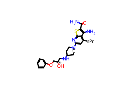 CCCc1cc(N2CCC(NC[C@@H](O)COc3ccccc3)CC2)nc2sc(C(N)=O)c(N)c12